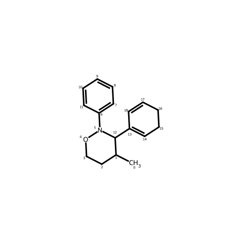 CC1CCON(c2ccccc2)C1C1=CCCC=C1